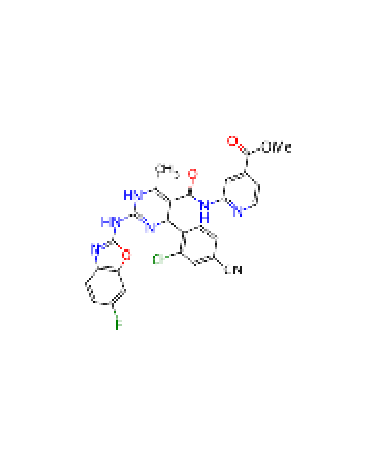 COC(=O)c1ccnc(NC(=O)C2=C(C)NC(Nc3nc4ccc(F)cc4o3)=NC2c2ccc(C#N)cc2Cl)c1